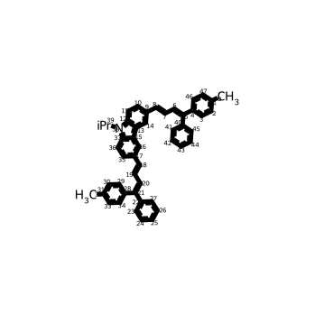 Cc1ccc(C(=CC=Cc2ccc3c(c2)c2cc(C=CC=C(c4ccccc4)c4ccc(C)cc4)ccc2n3C(C)C)c2ccccc2)cc1